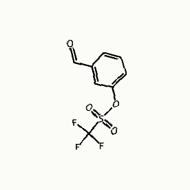 O=Cc1cccc(OS(=O)(=O)C(F)(F)F)c1